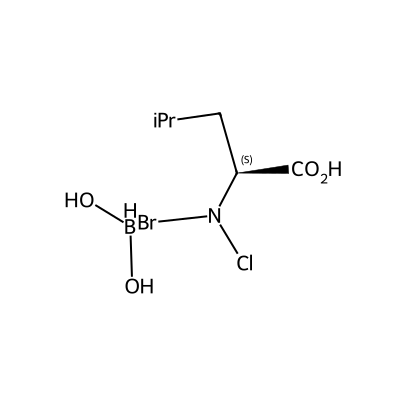 CC(C)C[C@@H](C(=O)O)N(Cl)Br.OBO